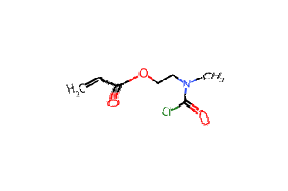 C=CC(=O)OCCN(C)C(=O)Cl